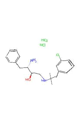 CC(C)(Cc1cccc(Cl)c1)NC[C@@H](O)[C@@H](N)Cc1ccccc1.Cl.Cl